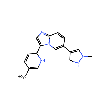 CN1C=C(c2ccc3ncc(C4C=CC(C(=O)O)=CN4)n3c2)CN1